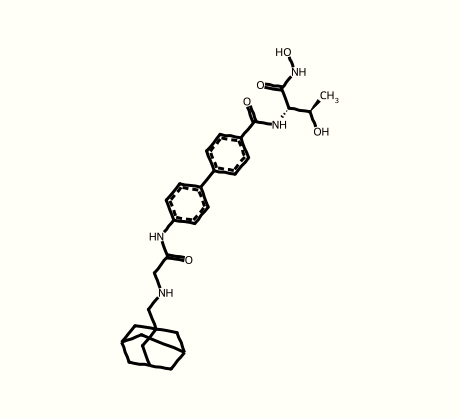 C[C@@H](O)[C@H](NC(=O)c1ccc(-c2ccc(NC(=O)CNCC34CC5CC(CC(C5)C3)C4)cc2)cc1)C(=O)NO